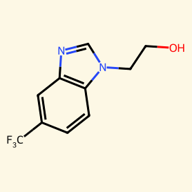 OCCn1cnc2cc(C(F)(F)F)ccc21